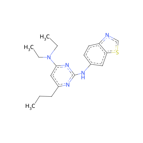 CCCc1cc(N(CC)CC)nc(Nc2ccc3ncsc3c2)n1